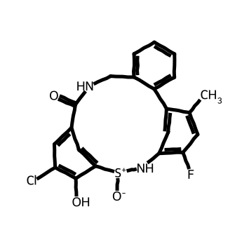 Cc1cc(F)c2cc1-c1ccccc1CNC(=O)c1cc(Cl)c(O)c(c1)[S+]([O-])N2